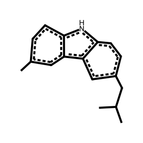 Cc1ccc2[nH]c3ccc(CC(C)C)cc3c2c1